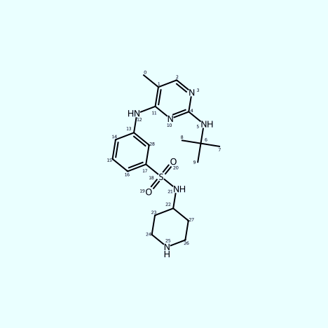 Cc1cnc(NC(C)(C)C)nc1Nc1cccc(S(=O)(=O)NC2CCNCC2)c1